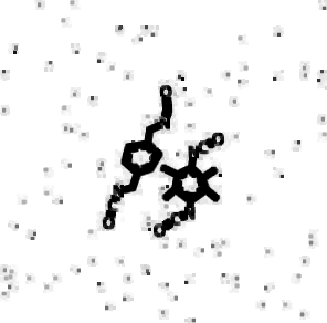 Cc1c(C)c(N=C=O)c(C)c(C)c1N=C=O.O=C=NCc1ccc(CN=C=O)cc1